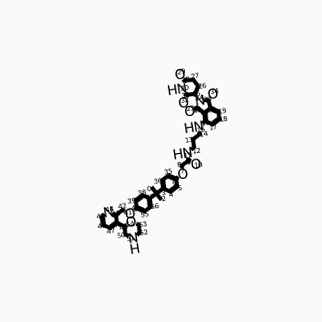 CC(C)(c1ccc(OCC(=O)NCCCNc2cccc3c2C(=O)N(C2CCC(=O)NC2=O)C3=O)cc1)c1ccc(OCc2ncccc2C2CNCCO2)cc1